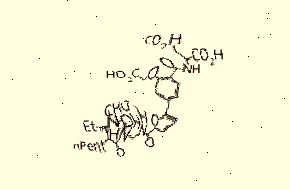 CCCCCC(C(=O)NCNC(=O)c1ccc(-c2ccc(C(=O)NC(CC(=O)O)C(=O)O)c(OCC(=O)O)c2)o1)[C@@H](CC)N(O)C=O